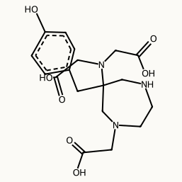 O=C(O)CN1CCNCC(Cc2ccc(O)cc2)(N(CC(=O)O)CC(=O)O)C1